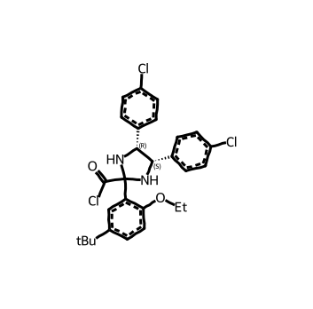 CCOc1ccc(C(C)(C)C)cc1C1(C(=O)Cl)N[C@H](c2ccc(Cl)cc2)[C@H](c2ccc(Cl)cc2)N1